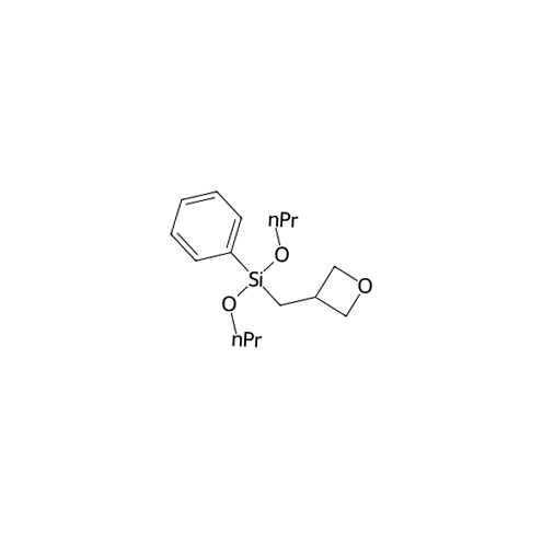 CCCO[Si](CC1COC1)(OCCC)c1ccccc1